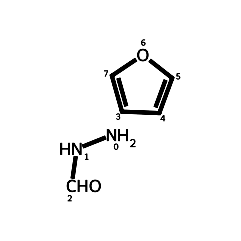 NNC=O.c1ccoc1